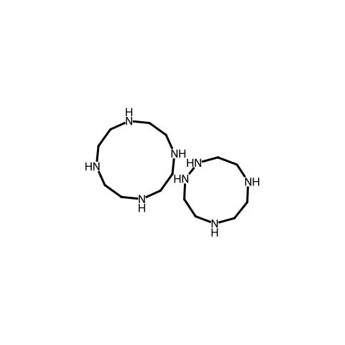 C1CNCCNCCNCCN1.C1CNCCNNCCN1